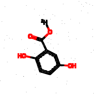 [2H]OC(=O)c1cc(O)ccc1O